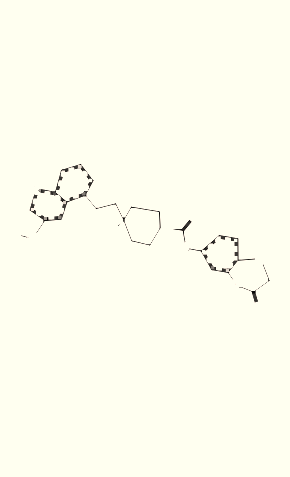 COc1cnc2cccc(CC[C@]3(O)CC[C@@H](C(=O)Nc4ccc5c(c4)NC(=O)CO5)CC3)c2c1